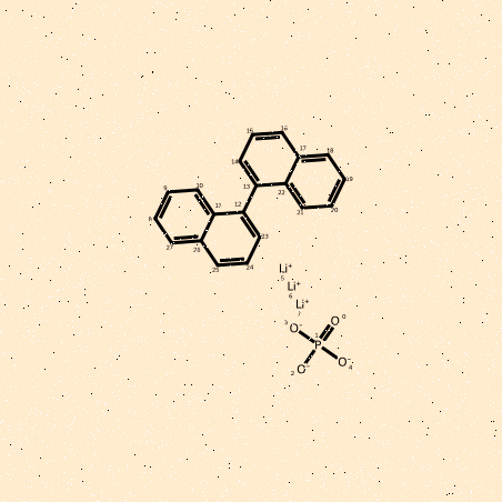 O=P([O-])([O-])[O-].[Li+].[Li+].[Li+].c1ccc2c(-c3cccc4ccccc34)cccc2c1